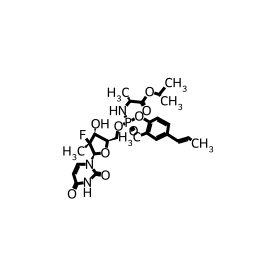 C/C=C/c1ccc(OP(=O)(N[C@@H](C)C(=O)OC(C)C)OC[C@H]2O[C@@H](n3ccc(=O)[nH]c3=O)[C@](C)(F)[C@@H]2O)c(C)c1